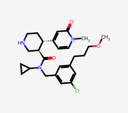 COCCCc1cc(Cl)cc(CN(C(=O)[C@H]2CNCC[C@@H]2c2ccn(C)c(=O)c2)C2CC2)c1